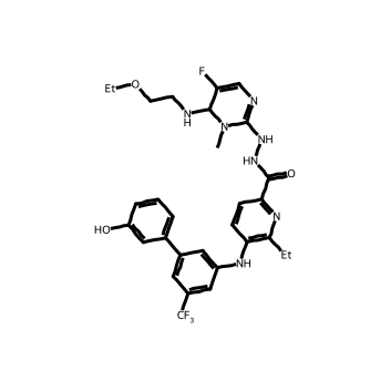 CCOCCNC1C(F)=CN=C(NNC(=O)c2ccc(Nc3cc(-c4cccc(O)c4)cc(C(F)(F)F)c3)c(CC)n2)N1C